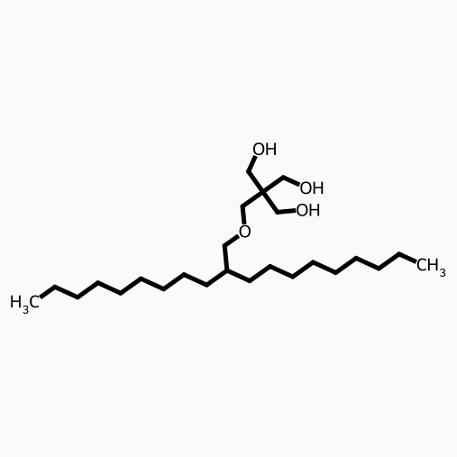 CCCCCCCCCC(CCCCCCCCC)COCC(CO)(CO)CO